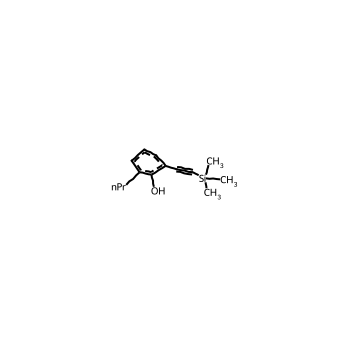 CCCc1cccc(C#C[Si](C)(C)C)c1O